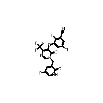 N#Cc1cc(Cl)cc(Oc2c(C(F)(F)F)ncn(Cc3cc(F)c[nH]c3=O)c2=O)c1F